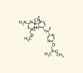 COC[C@]12C[C@H]1[C@@](C)(c1cc(/C=C(\F)c3cnc(OC[C@H](C)OC)cn3)ccc1F)N=C(N)S2